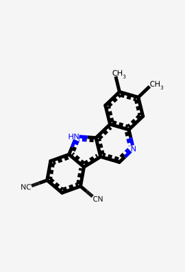 Cc1cc2ncc3c([nH]c4cc(C#N)cc(C#N)c43)c2cc1C